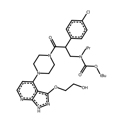 CC(C)N(CC(C(=O)N1CCN(c2ccnc3[nH]nc(OCCO)c23)CC1)c1ccc(Cl)cc1)C(=O)OC(C)(C)C